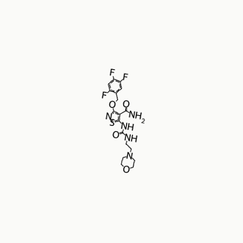 NC(=O)c1c(OCc2cc(F)c(F)cc2F)nsc1NC(=O)NCCN1CCOCC1